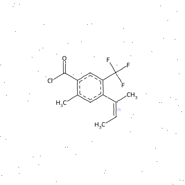 C/C=C(/C)c1cc(C)c(C(=O)Cl)cc1C(F)(F)F